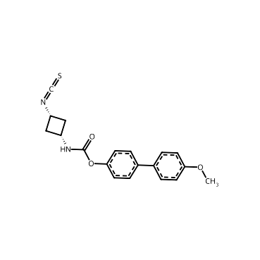 COc1ccc(-c2ccc(OC(=O)N[C@H]3C[C@@H](N=C=S)C3)cc2)cc1